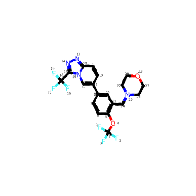 FC(F)(F)Oc1ccc(-c2ccc3nnc(C(F)(F)F)n3c2)cc1CN1CCOCC1